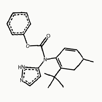 CC1C=CC(N(C(=O)Oc2ccccc2)c2ccn[nH]2)=C(C(C)(C)C)C1